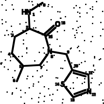 CNC1CCC(C)CN(Cc2cncs2)C1=O